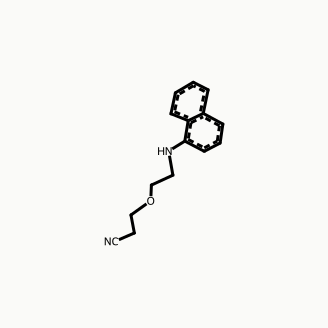 N#CCCOCCNc1cccc2ccccc12